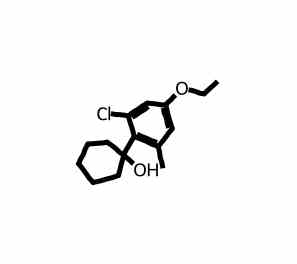 CCOc1cc(C)c(C2(O)CCCCC2)c(Cl)c1